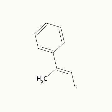 [C]C=C(C)c1ccccc1